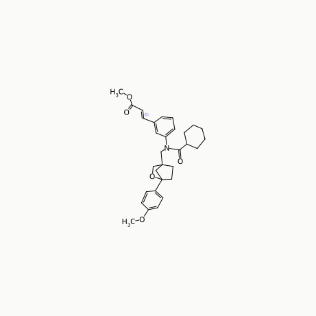 COC(=O)/C=C/c1cccc(N(CC23CCC(c4ccc(OC)cc4)(C2)OC3)C(=O)C2CCCCC2)c1